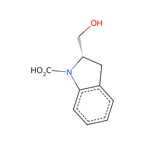 O=C(O)N1c2ccccc2C[C@H]1CO